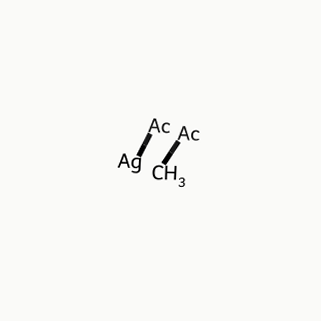 CC(C)=O.C[C](=O)[Ag]